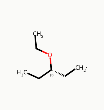 [CH2]C[C@H](CC)OCC